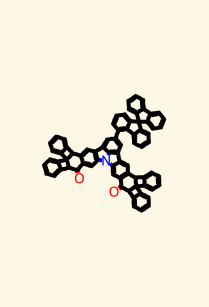 O=C1c2cc3c(cc2C2c4ccccc4C24c2ccccc2C14)c1cc(-c2cccc4c2-c2ccccc2C42c4ccccc4-c4ccccc42)cc2c4cc5c(cc4n3c12)C(=O)C1c2ccccc2C12c1ccccc1C52